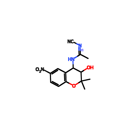 C/C(=N/C#N)NC1c2cc([N+](=O)[O-])ccc2OC(C)(C)C1O